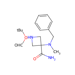 CC(C)(C)OC=O.CN(Cc1ccccc1)C1(C(N)=O)CNC1